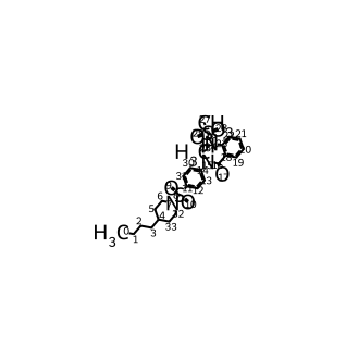 CCCCC1CCN(S(=O)(=O)c2ccc(NC(=O)c3ccccc3N(C)S(C)(=O)=O)cc2)CC1